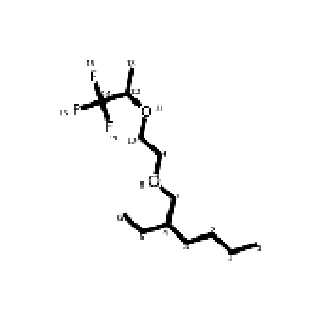 CCCCC(CC)COCCOC(C)C(F)(F)F